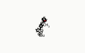 Cc1cc(C(=O)N2CCC[C@H]2C(=O)OC(C)(C)C)ccc1OCC12CC3CC(CC(C3)C1)C2